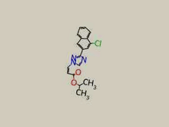 CC(C)OC(=O)/C=C\n1cnc(-c2cc(Cl)c3ccccc3c2)n1